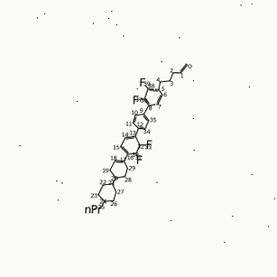 C=CCCCc1ccc(-c2ccc(C3=CC=C(C4=CCC(C5CCC(CCC)CC5)CC4)C(F)C3F)cc2)c(F)c1F